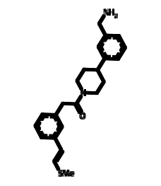 CS/C=C/c1cccc(CC(=O)N2CCC(c3cccc(CN)c3)CC2)c1